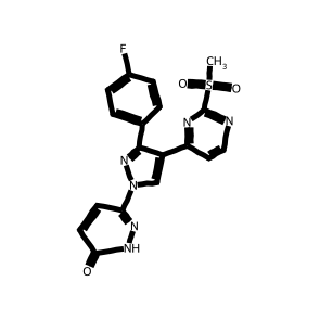 CS(=O)(=O)c1nccc(-c2cn(-c3ccc(=O)[nH]n3)nc2-c2ccc(F)cc2)n1